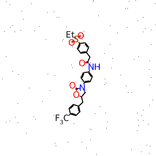 CCS(=O)(=O)c1ccc(CC(=O)Nc2ccc(N3CC(Cc4ccc(C(F)(F)F)cc4)OC3=O)cc2)cc1